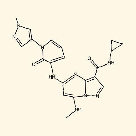 CNc1cc(Nc2cccn(-c3cnn(C)c3)c2=O)nc2c(C(=O)NC3CC3)cnn12